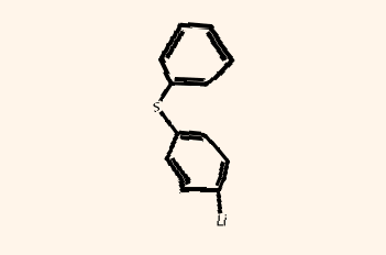 [Li][c]1ccc(Sc2ccccc2)cc1